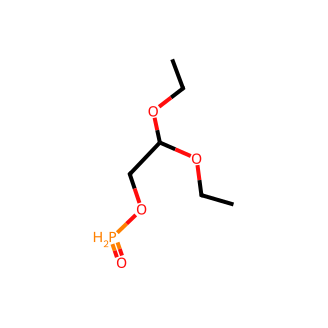 CCOC(CO[PH2]=O)OCC